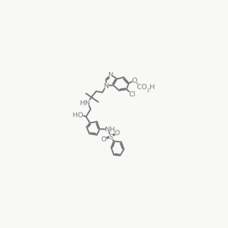 CC(C)(CCn1cnc2cc(OC(=O)O)c(Cl)cc21)NCC(O)c1cccc(NS(=O)(=O)c2ccccc2)c1